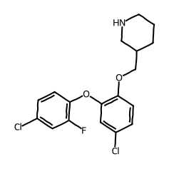 Fc1cc(Cl)ccc1Oc1cc(Cl)ccc1OCC1CCCNC1